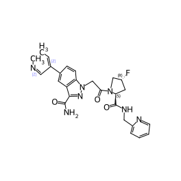 C/C=C(\C=N/C)c1ccc2c(c1)c(C(N)=O)nn2CC(=O)N1C[C@H](F)C[C@H]1C(=O)NCc1ccccn1